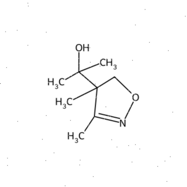 CC1=NOCC1(C)C(C)(C)O